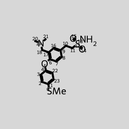 CSc1ccc(Oc2ccc(CCS(N)(=O)=O)cc2CN(C)C)cc1